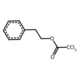 O=C(OCCc1ccccc1)C(Cl)(Cl)Cl